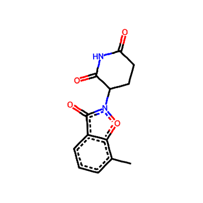 Cc1cccc2c(=O)n(C3CCC(=O)NC3=O)oc12